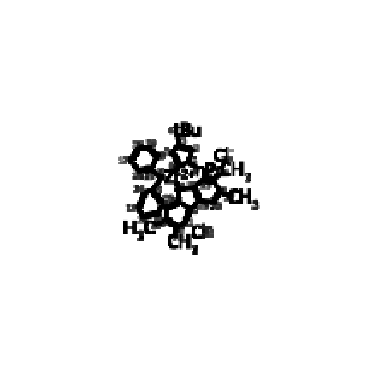 CCCC1C=C(C(C)(C)C)C=[C]1[Zr+2](=[C](c1ccccc1)c1ccccc1)[CH]1c2cc(C)c(C)cc2-c2cc(C)c(C)cc21.[Cl-].[Cl-]